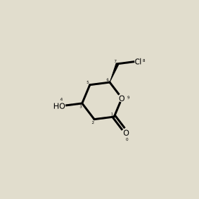 O=C1CC(O)C[C@@H](CCl)O1